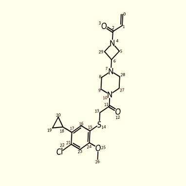 C=CC(=O)N1CC(N2CCN(C(=O)CSc3cc(C4CC4)c(Cl)cc3OC)CC2)C1